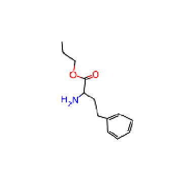 CCCOC(=O)C(N)CCc1ccccc1